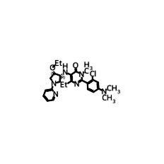 CCO[C@H]1CN(c2ccccn2)C[C@H]1Nc1c(CC)nc(-c2ccc(N(C)C)cc2Cl)n(C)c1=O